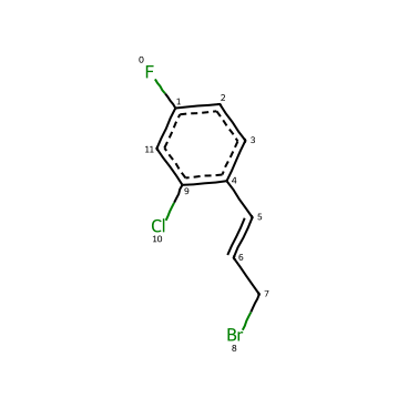 Fc1ccc(C=CCBr)c(Cl)c1